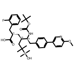 COc1ccc(-c2ccc(C[C@H](NC(=O)OC(C)(C)C)[C@H](C[C@@H](Cc3ccccc3F)C(=O)O)CC(C)(C)[Si](C)(C)O)cc2)cn1